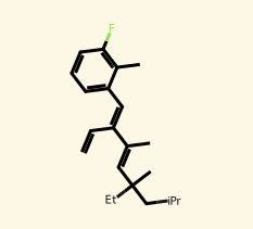 C=CC(=C\c1cccc(F)c1C)/C(C)=C/C(C)(CC)CC(C)C